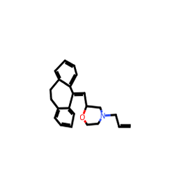 C=CCN1CCOC(C=C2c3ccccc3CCc3ccccc32)C1